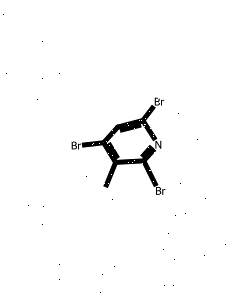 Cc1c(Br)cc(Br)nc1Br